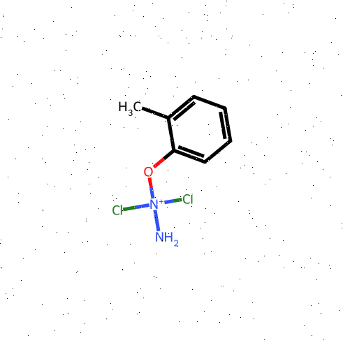 Cc1ccccc1O[N+](N)(Cl)Cl